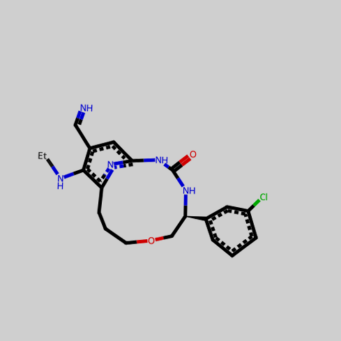 CCNc1c(C=N)cc2nc1CCCOC[C@H](c1cccc(Cl)c1)NC(=O)N2